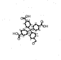 O=Cc1ccc(C(c2ccc(C(=O)O)cc2)(c2ccc(C(=O)O)cc2)c2ccc(C(=O)O)cc2)cc1